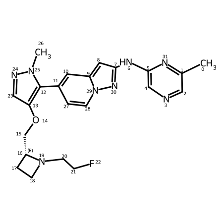 Cc1cncc(Nc2cc3cc(-c4c(OC[C@H]5CCN5CCF)cnn4C)ccn3n2)n1